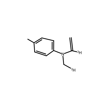 [2H]CN(C([2H])=C)c1ccc(C)cc1